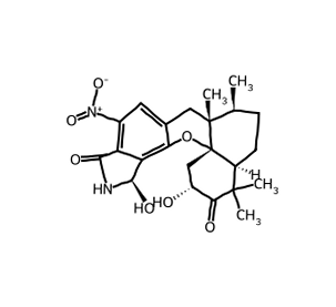 C[C@H]1CC[C@H]2C(C)(C)C(=O)[C@H](O)C[C@]23Oc2c(cc([N+](=O)[O-])c4c2[C@@H](O)NC4=O)C[C@]13C